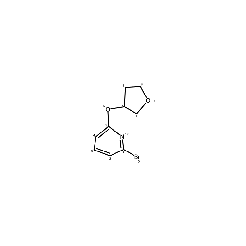 Brc1cccc(OC2CCOC2)n1